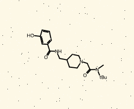 CN(C(=O)CN1CCC(CNC(=O)c2cccc(O)c2)CC1)C(C)(C)C